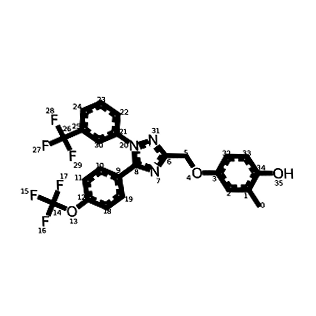 Cc1cc(OCc2nc(-c3ccc(OC(F)(F)F)cc3)n(-c3cccc(C(F)(F)F)c3)n2)ccc1O